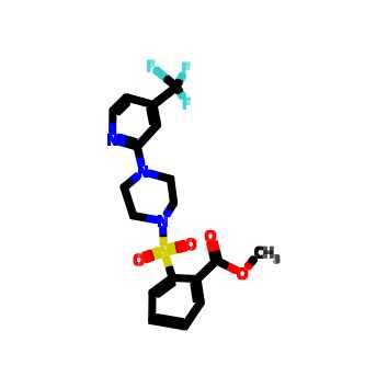 COC(=O)c1ccccc1S(=O)(=O)N1CCN(c2cc(C(F)(F)F)ccn2)CC1